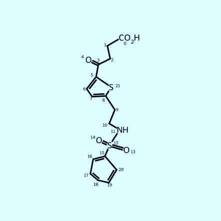 O=C(O)CCC(=O)c1ccc(CCNS(=O)(=O)c2ccccc2)s1